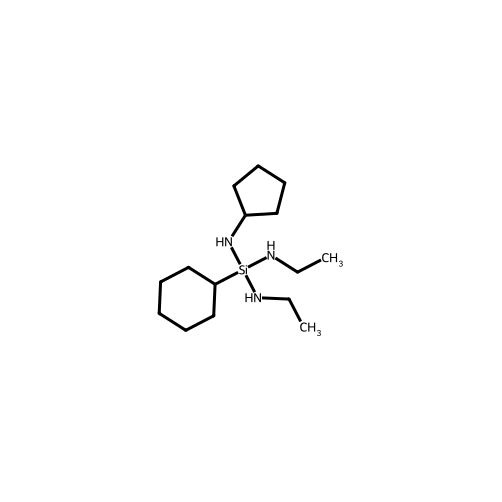 CCN[Si](NCC)(NC1CCCC1)C1CCCCC1